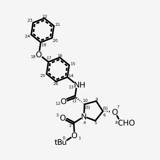 CC(C)(C)OC(=O)N1C[C@@H](OC=O)C[C@H]1C(=O)Nc1ccc(Oc2ccccc2)cc1